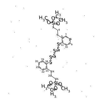 CO[Si](CCCc1ccccc1SSSSSSc1ccccc1CCC[Si](OC)(OC)OC)(OC)OC